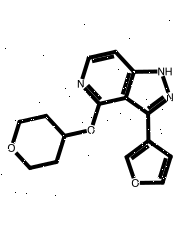 c1cc2[nH]nc(-c3ccoc3)c2c(OC2CCOCC2)n1